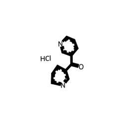 Cl.O=C(c1cccnc1)c1cccnc1